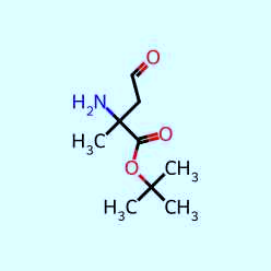 CC(C)(C)OC(=O)C(C)(N)CC=O